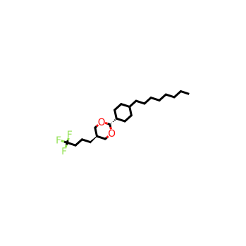 CCCCCCCCC1CCC([C@H]2OC[C@H](CCCC(F)(F)F)CO2)CC1